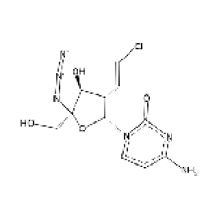 [N-]=[N+]=N[C@]1(CO)O[C@@H](n2ccc(N)nc2=O)[C@@H](/C=C/Cl)[C@@H]1O